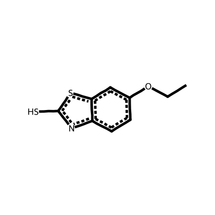 CCOc1ccc2nc(S)sc2c1